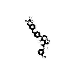 CCC(=O)N(C)Cc1cccc(Cc2ccc(N3CCn4ncc(C(=O)Nc5cccc(C#N)c5)c4C3=O)cc2)c1